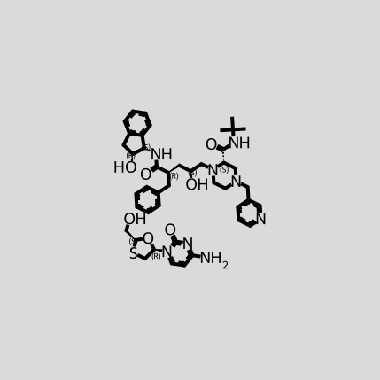 CC(C)(C)NC(=O)[C@@H]1CN(Cc2cccnc2)CCN1C[C@@H](O)C[C@@H](Cc1ccccc1)C(=O)N[C@H]1c2ccccc2C[C@H]1O.Nc1ccn([C@H]2CS[C@@H](CO)O2)c(=O)n1